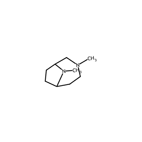 CN1CCC2CCC(C1)N2C